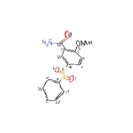 COc1ccc(S(=O)(=O)c2ccccc2)cc1C(N)=O